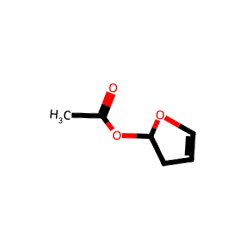 CC(=O)OC1CC=CO1